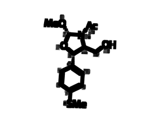 CO[C@H]1O[C@@H](c2ccc(SC)cc2)C(CO)N1C(C)=O